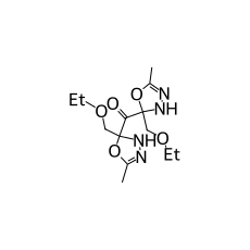 CCOCC1(C(=O)C2(COCC)NN=C(C)O2)NN=C(C)O1